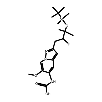 COc1cn2nc(CC(F)C(C)(C)O[Si](C)(C)C(C)(C)C)cc2cc1NC(=O)O